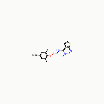 CCCCc1cc(C)c(OCCNC2=c3ccsc3=NCN2C)c(C)c1